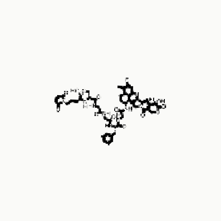 CC[C@@]1(O)C(=O)OCc2c1cc1n(c2=O)Cc2c-1nc1cc(F)c(C)c3c1c2[C@@H](NC(=O)CNC(=O)[C@H](Cc1ccccc1)NC(=O)CNC(=O)CNC(=O)[C@H](CC(=O)O)NC(=O)CCCN1C(=O)C=CC1=O)CC3